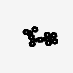 c1ccc(-n2c3ccccc3c3cc4c5ccccc5n(-c5ccc(N6c7ccccc7[Si](c7ccccc7)(c7ccccc7)c7ccccc76)cc5)c4cc32)cc1